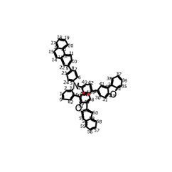 c1ccc(N(c2ccc(-c3ccc4c(ccc5ccccc54)c3)cc2)c2ccc(-c3ccc4oc5ccccc5c4c3)cc2)c(-c2cccc3c2oc2cc4ccccc4cc23)c1